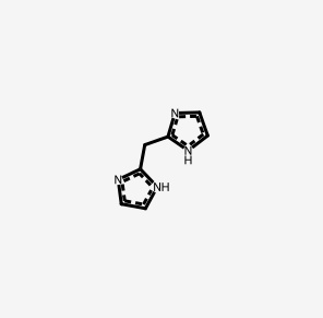 c1c[nH]c(Cc2ncc[nH]2)n1